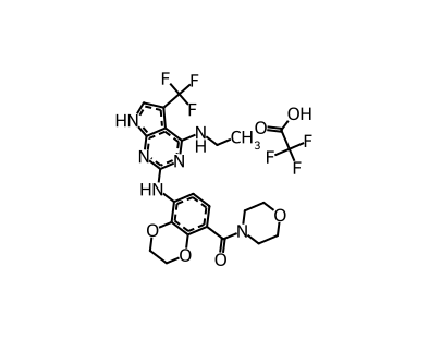 CCNc1nc(Nc2ccc(C(=O)N3CCOCC3)c3c2OCCO3)nc2[nH]cc(C(F)(F)F)c12.O=C(O)C(F)(F)F